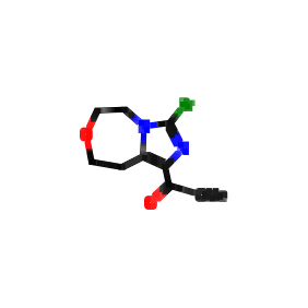 COC(=O)c1nc(Br)n2c1CCOCC2